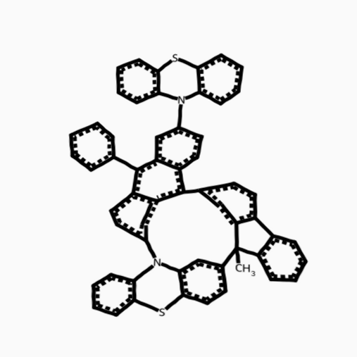 CC12c3ccc4c(c3)N(c3ccc5c(-c6ccccc6)c6cc(N7c8ccccc8Sc8ccccc87)ccc6c(c5c3)-c3ccc(c1c3)-c1ccccc12)c1ccccc1S4